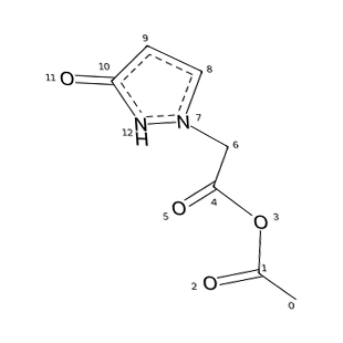 CC(=O)OC(=O)Cn1ccc(=O)[nH]1